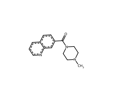 CN1CCN(C(=O)c2ccc3[c]ccnc3c2)CC1